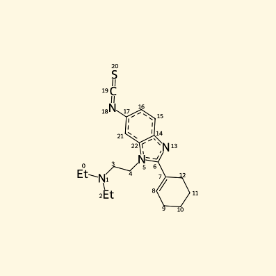 CCN(CC)CCn1c(C2=CCCCC2)nc2ccc(N=C=S)cc21